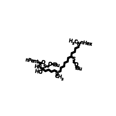 CCCCCCN(C)CCCCC(CCCCCCN(C)CCCCC(O)(NC(=O)CCCCC)SCOC(C)CC)SCOC(C)CC